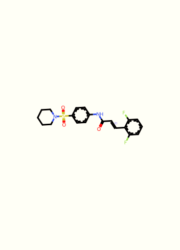 O=C(/C=C/c1c(F)cccc1F)Nc1ccc(S(=O)(=O)N2CCCCC2)cc1